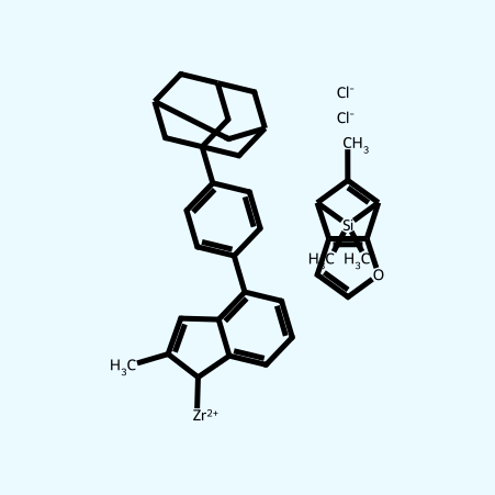 CC1=C2c3occc3C1[Si]2(C)C.CC1=Cc2c(-c3ccc(C45CC6CC(CC(C6)C4)C5)cc3)cccc2[CH]1[Zr+2].[Cl-].[Cl-]